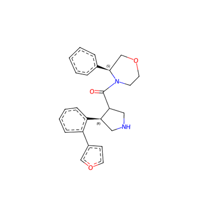 O=C(C1CNC[C@H]1c1ccccc1-c1ccoc1)N1CCOC[C@@H]1c1ccccc1